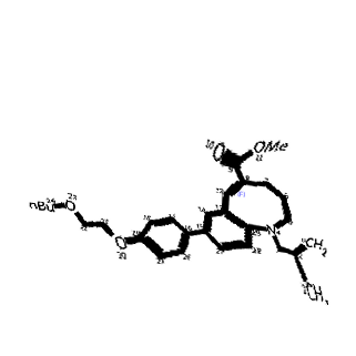 C=C(C)CN1CCC/C(C(=O)OC)=C\c2cc(-c3ccc(OCCOCCCC)cc3)ccc21